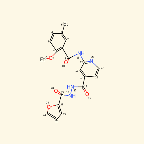 CCOc1ccc(CC)cc1C(=O)Nc1cc(C(=O)NNC(=O)c2ccco2)ccn1